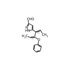 C/C=C(\C(=C/C)Oc1ccccc1)c1cc(C=O)n[nH]1